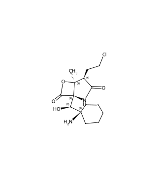 C[C@@]12OC(=O)[C@]1([C@H](O)[C@]1(N)C=CCCC1)NC(=O)[C@@H]2CCCl